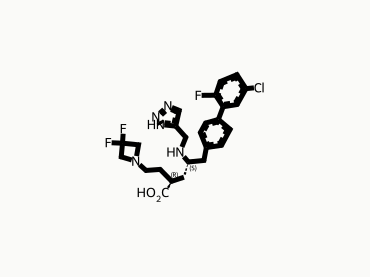 O=C(O)[C@H](CCN1CC(F)(F)C1)C[C@@H](Cc1ccc(-c2cc(Cl)ccc2F)cc1)NCc1cnn[nH]1